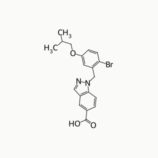 CC(C)COc1ccc(Br)c(Cn2ncc3cc(C(=O)O)ccc32)c1